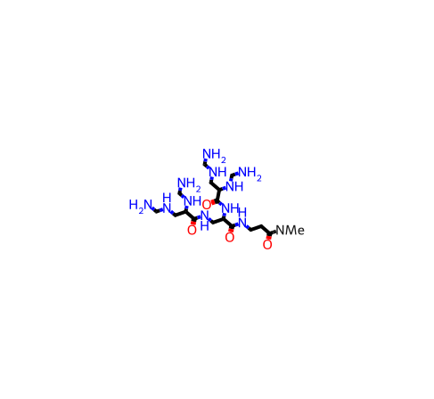 CNC(=O)CCNC(=O)C(CNC(=O)C(CNCN)NCN)NC(=O)C(CNCN)NCN